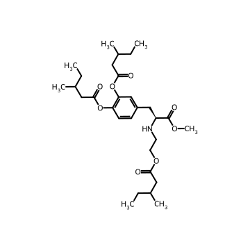 CCC(C)CC(=O)OCCN[C@@H](Cc1ccc(OC(=O)CC(C)CC)c(OC(=O)CC(C)CC)c1)C(=O)OC